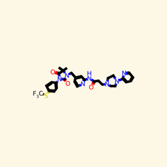 CC1(C)C(=O)N(c2ccc(SC(F)(F)F)cc2)C(=O)N1Cc1ccnc(NC(=O)CCN2CCN(c3ccccn3)CC2)c1